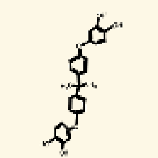 CC(C)(c1ccc(Oc2ccc(O)c(O)c2)cc1)c1ccc(Oc2ccc(O)c(O)c2)cc1